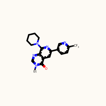 CCn1cnc2c(N3CCCCC3)nc(-c3ccc(C(F)(F)F)nc3)cc2c1=O